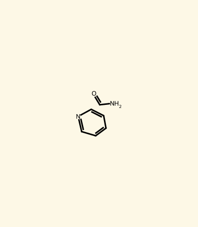 NC=O.c1ccncc1